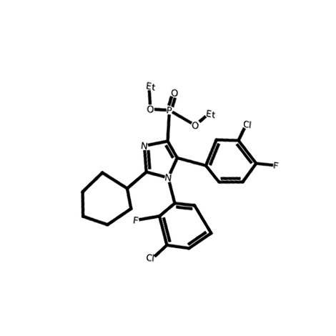 CCOP(=O)(OCC)c1nc(C2CCCCC2)n(-c2cccc(Cl)c2F)c1-c1ccc(F)c(Cl)c1